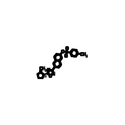 Cc1ccc(S(=O)(=O)Oc2ccc3cc(-c4noc([C@@H]5CCCN5C)n4)ccc3c2)cc1